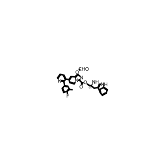 Cc1cc(-c2ncccc2-c2ccn3c(C(=O)OC[C@@H](N)Cc4c[nH]c5ccccc45)nc(OC=O)c3c2)ccc1F